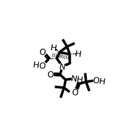 CC(C)(O)C(=O)NC(C(=O)N1C[C@H]2[C@@H]([C@H]1C(=O)O)C2(C)C)C(C)(C)C